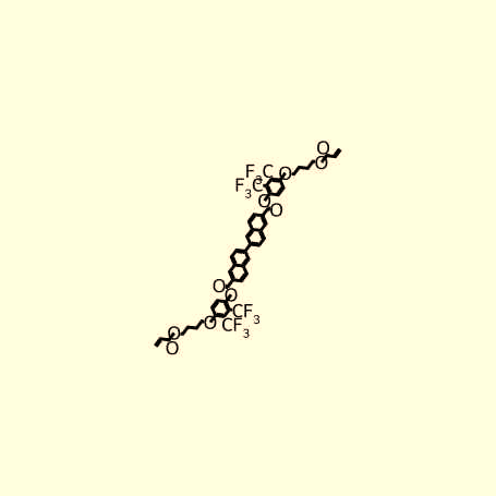 C=CC(=O)OCCCCOc1ccc(OC(=O)c2ccc3cc(-c4ccc5cc(C(=O)Oc6ccc(OCCCCOC(=O)C=C)c(C(F)(F)F)c6C(F)(F)F)ccc5c4)ccc3c2)c(C(F)(F)F)c1C(F)(F)F